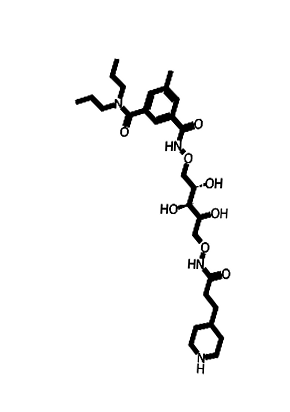 CCCN(CCC)C(=O)c1cc(C)cc(C(=O)NOC[C@H](O)[C@H](O)C(O)CONC(=O)CCC2CCNCC2)c1